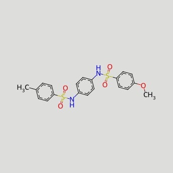 COc1ccc(S(=O)(=O)Nc2ccc(NS(=O)(=O)c3ccc(C)cc3)cc2)cc1